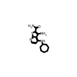 NC(=O)c1sc2nccc(NC3CCCCCC3)c2c1N